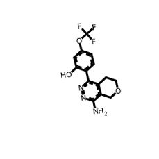 Nc1nnc(-c2ccc(OC(F)(F)F)cc2O)c2c1COCC2